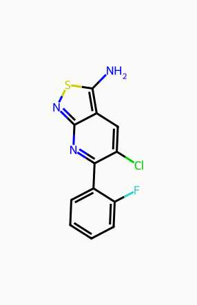 Nc1snc2nc(-c3ccccc3F)c(Cl)cc12